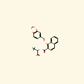 CC(C)(C)C(NC(=O)c1ccc2ccccc2c1OCc1ccc2c(c1)OCO2)C(=O)O